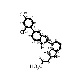 CC(CC1Nc2cccc(-c3nc4cc(-c5ccc(Cl)cc5Cl)ccc4[nH]3)c2N1)C(=O)O